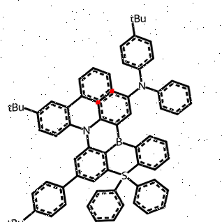 CC(C)(C)c1ccc(-c2cc3c4c(c2)S(c2ccccc2)(c2ccccc2)c2ccccc2B4c2cc(N(c4ccccc4)c4ccc(C(C)(C)C)cc4)ccc2N3c2ccc(C(C)(C)C)cc2-c2ccccc2)cc1